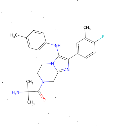 Cc1ccc(Nc2c(-c3ccc(F)c(C)c3)nc3n2CCN(C(=O)C(C)(C)N)C3)cc1